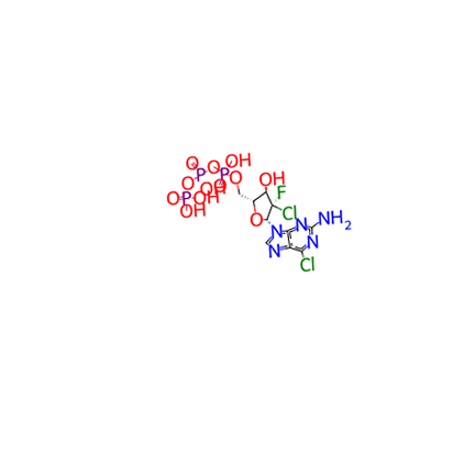 Nc1nc(Cl)c2ncn([C@@H]3O[C@H](COP(=O)(O)OP(=O)(O)OP(=O)(O)O)[C@@H](O)[C@@]3(F)Cl)c2n1